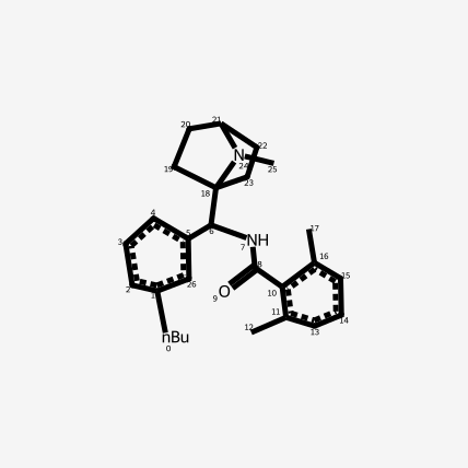 CCCCc1cccc(C(NC(=O)c2c(C)cccc2C)C23CCC(CC2)N3C)c1